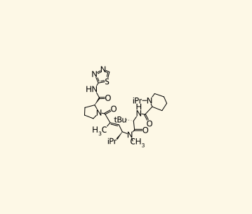 C/C(=C\[C@H](C(C)C)N(C)C(=O)[C@@H](NC(=O)C1CCCCN1C(C)C)C(C)(C)C)C(=O)N1CCC[C@H]1C(=O)Nc1nncs1